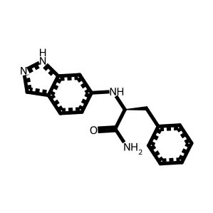 NC(=O)[C@H](Cc1ccccc1)Nc1ccc2cn[nH]c2c1